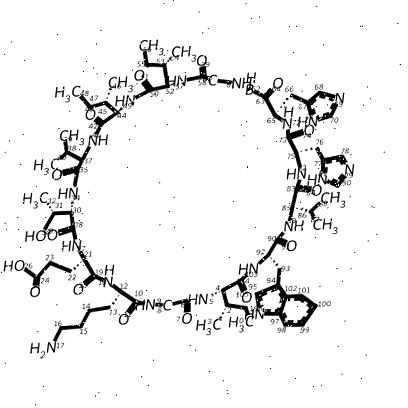 CC[C@H](C)[C@@H]1NC(=O)CNC(=O)[C@H](CCCCN)NC(=O)[C@H](CCC(=O)O)NC(=O)[C@H]([C@@H](C)O)NC(=O)C(C(C)C)NC(=O)[C@H]([C@@H](C)CC)NC(=O)[C@H]([C@@H](C)CC)NC(=O)CNBC(=O)[C@H](Cc2cnc[nH]2)NC(=O)[C@H](Cc2cnc[nH]2)NC(=O)[C@H](C(C)C)NC(=O)[C@H](Cc2c[nH]c3ccccc23)NC1=O